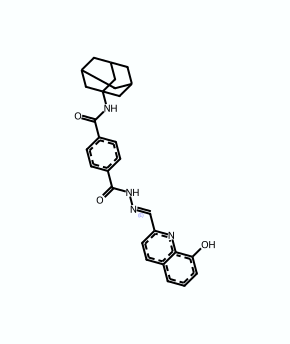 O=C(N/N=C/c1ccc2cccc(O)c2n1)c1ccc(C(=O)NC23CC4CC(CC(C4)C2)C3)cc1